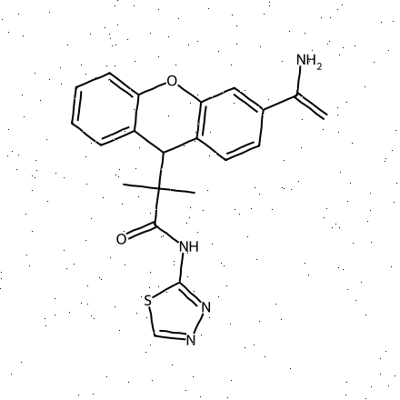 C=C(N)c1ccc2c(c1)Oc1ccccc1C2C(C)(C)C(=O)Nc1nncs1